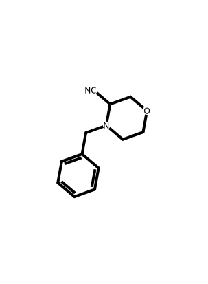 N#CC1COCCN1Cc1ccccc1